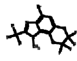 Cn1c(C(F)(F)F)nc2c(Br)cc3c(c21)OC(F)(F)C(F)(F)O3